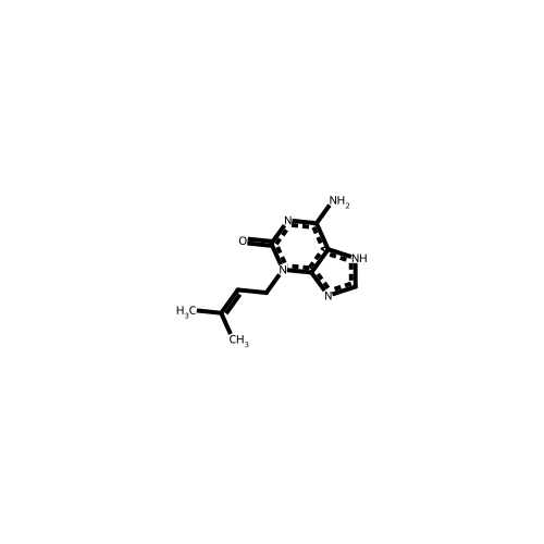 CC(C)=CCn1c(=O)nc(N)c2[nH]cnc21